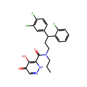 CCCN(CCC(c1ccc(F)c(F)c1)c1ccccc1F)C(=O)c1[nH]ncc(=O)c1O